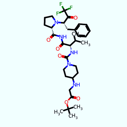 CC(C)[C@H](NC(=O)N1CCC(NCC(=O)OC(C)(C)C)CC1)C(=O)NC(=O)[C@@H]1CCCN1[C@@H](Cc1ccccc1)C(=O)C(F)(F)F